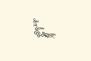 COc1nc(-c2cccc(-c3cccc(-c4ccn5c(=O)c(CNCC(C)(C)OC)cnc5c4)c3Cl)c2Cl)ccc1CNC[C@H]1CCC(=O)N1